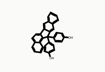 Oc1ccc(C2(c3ccc(O)cc3)c3cc4ccccc4cc3-c3ccc4ccccc4c32)cc1